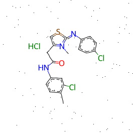 Cc1ccc(NC(=O)Cc2csc(=Nc3ccc(Cl)cc3)n2C)cc1Cl.Cl